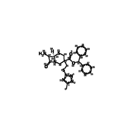 Cc1nnn(SCC2(C(=O)OC(c3ccccc3)c3ccccc3)CS[C@@H]3C(N)C(=O)N3C2)n1